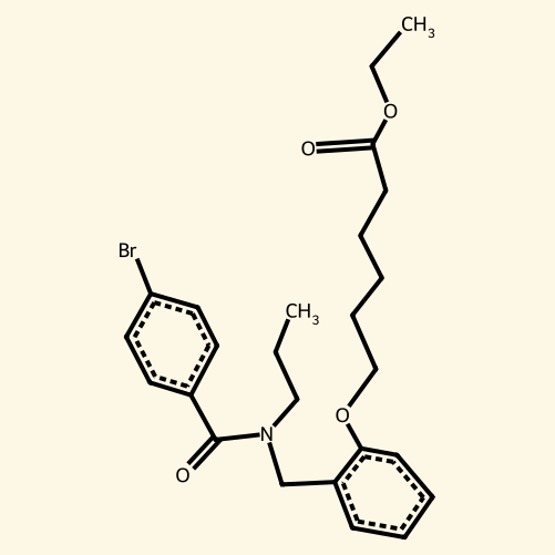 CCCN(Cc1ccccc1OCCCCCC(=O)OCC)C(=O)c1ccc(Br)cc1